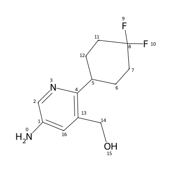 Nc1cnc(C2CCC(F)(F)CC2)c(CO)c1